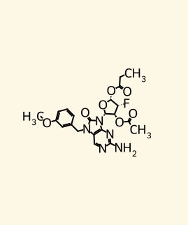 CCC(=O)O[C@H]1O[C@@H](n2c(=O)n(Cc3cccc(OC)c3)c3cnc(N)nc32)[C@H](OC(C)=O)[C@H]1F